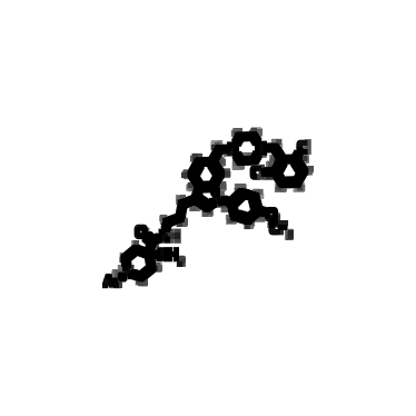 CC(=O)N1CCC(N)(C(=O)NCCCc2cn(-c3ccc(OC(F)(F)F)cc3)c3cc(CN4CCN(Cc5c(Cl)cccc5Cl)CC4)ccc23)CC1